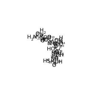 CC(C)[C@H](N)C(=O)O.CC(C)[C@H](N)C(=O)O.C[C@H](N)C(=O)O.NC(=O)C[C@H](N)C(=O)O.N[C@@H](CS)C(=O)O.O=C(O)[C@@H]1CCCN1